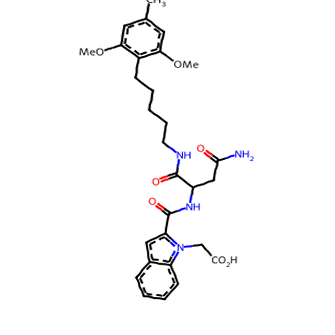 COc1cc(C)cc(OC)c1CCCCCNC(=O)C(CC(N)=O)NC(=O)c1cc2ccccc2n1CC(=O)O